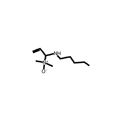 C=CC(NCCCCC)[N+](C)(C)[O-]